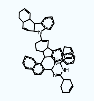 C1=CCCC(C2NC(C3CC=CCC3)=NC(c3ccc4ccccc4c3C3c4cc5ccccc5cc4C4C=C(N5c6ccccc6C6C7C=CCCC7C=CC65)CCC43)N2)=C1